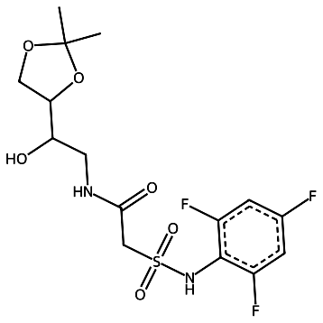 CC1(C)OCC(C(O)CNC(=O)CS(=O)(=O)Nc2c(F)cc(F)cc2F)O1